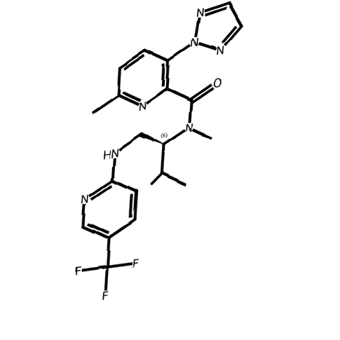 Cc1ccc(-n2nccn2)c(C(=O)N(C)[C@H](CNc2ccc(C(F)(F)F)cn2)C(C)C)n1